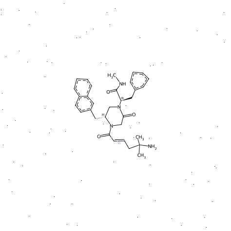 CNC(=O)[C@@H](Cc1ccccc1)N1C[C@@H](Cc2ccc3ccccc3c2)N(C(=O)/C=C/CC(C)(C)N)CC1=O